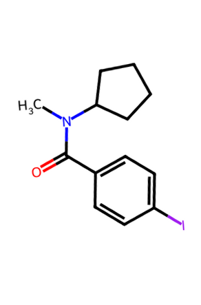 CN(C(=O)c1ccc(I)cc1)C1CCCC1